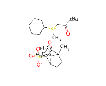 CC12CCC(C(S(=O)(=O)[O-])C1=O)C2(C)C.C[S+](CC(=O)C(C)(C)C)C1CCCCC1